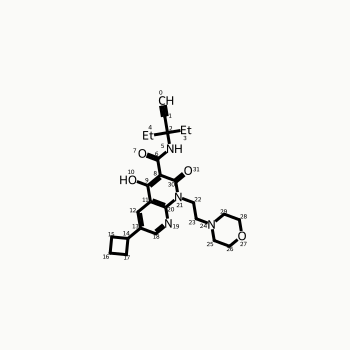 C#CC(CC)(CC)NC(=O)c1c(O)c2cc(C3CCC3)cnc2n(CCN2CCOCC2)c1=O